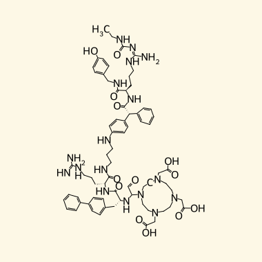 CCNC(=O)/N=C(/N)NCCC[C@@H](NC(=O)[C@H](c1ccccc1)c1ccc(NCCCNC(=O)[C@@H](CCCNC(=N)N)NC(=O)[C@@H](Cc2ccc(-c3ccccc3)cc2)NC(C=O)N2CCN(CC(=O)O)CCN(CC(=O)O)CCN(CC(=O)O)CC2)cc1)C(=O)NCc1ccc(O)cc1